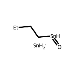 CCC[CH2][SnH]=[O].[SnH2]